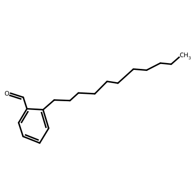 CCCCCCCCCCCc1ccccc1C=O